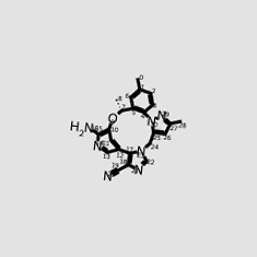 Cc1ccc2c(c1)[C@@H](C)Oc1cc(cnc1N)-c1c(C#N)ncn1Cc1cc(C)nn1-2